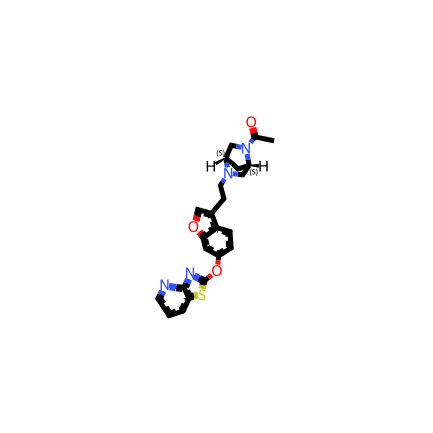 CC(=O)N1C[C@@H]2C[C@H]1CN2CCc1coc2cc(Oc3nc4ncccc4s3)ccc12